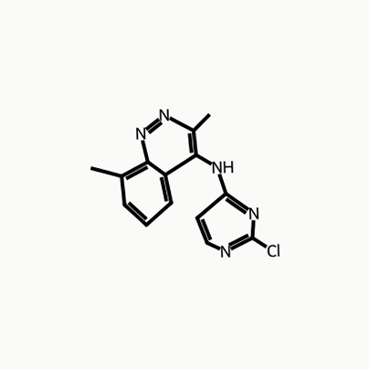 Cc1nnc2c(C)cccc2c1Nc1ccnc(Cl)n1